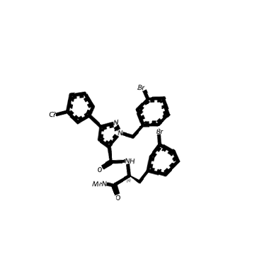 CNC(=O)[C@H](Cc1cccc(Br)c1)NC(=O)c1cc(-c2cccc(Cl)c2)nn1Cc1cccc(Br)c1